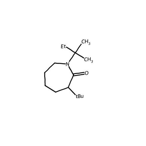 CCC(C)(C)N1CCCCC(C(C)(C)C)C1=O